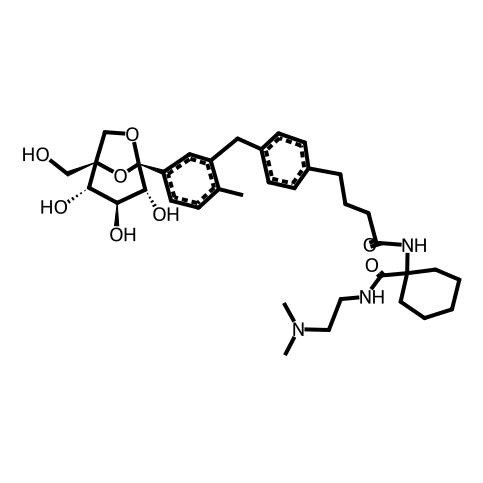 Cc1ccc([C@]23OC[C@](CO)(O2)[C@@H](O)[C@H](O)[C@H]3O)cc1Cc1ccc(CCCC(=O)NC2(C(=O)NCCN(C)C)CCCCC2)cc1